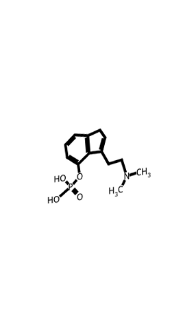 CN(C)CCC1=CCc2cccc(OP(=O)(O)O)c21